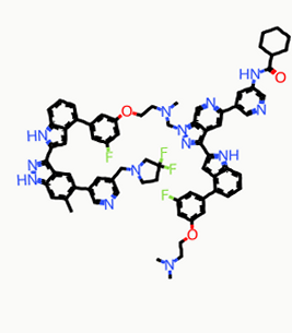 Cc1cc2[nH]nc(-c3cc4c(-c5cc(F)cc(OCCN(C)Cn6nc(-c7cc8c(-c9cc(F)cc(OCCN(C)C)c9)cccc8[nH]7)c7cc(-c8cncc(NC(=O)C9CCCCC9)c8)ncc76)c5)cccc4[nH]3)c2cc1-c1cncc(CN2CCC(F)(F)C2)c1